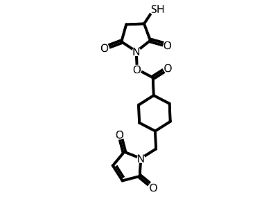 O=C(ON1C(=O)CC(S)C1=O)C1CCC(CN2C(=O)C=CC2=O)CC1